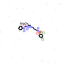 COC[C@@H](CNCCCCNS(=O)(=O)c1ccc(Cl)cc1Cl)NC(=O)Nc1ccccc1